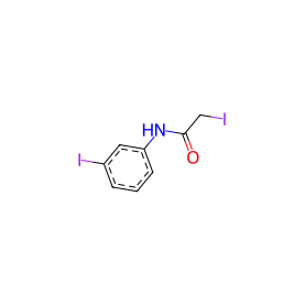 O=C(CI)Nc1cccc(I)c1